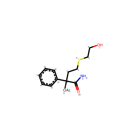 CC(=O)OC(CCSCCO)(C(N)=O)c1ccccc1